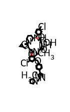 C[C@H]1C(=O)N[C@@H](CO)C(=O)N[C@@]2(Cc3ccc(Cl)cc3)CCCN(C2)C(=O)[C@H](CC2CC2)CC(=O)N1Cc1c(F)cc(Cl)cc1Oc1ccc(-c2cnc(CN3CCCC3)n2C)cc1